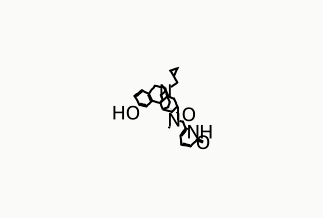 CN(C(=O)c1cccc(=O)[nH]1)C1CCC23C[C@H](I)C1C21CCN(CC2CC2)C3Cc2ccc(O)cc21